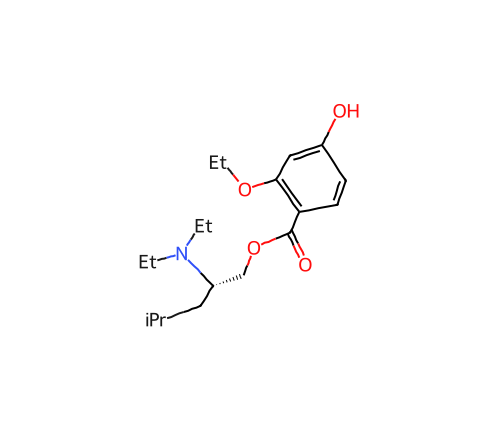 CCOc1cc(O)ccc1C(=O)OC[C@H](CC(C)C)N(CC)CC